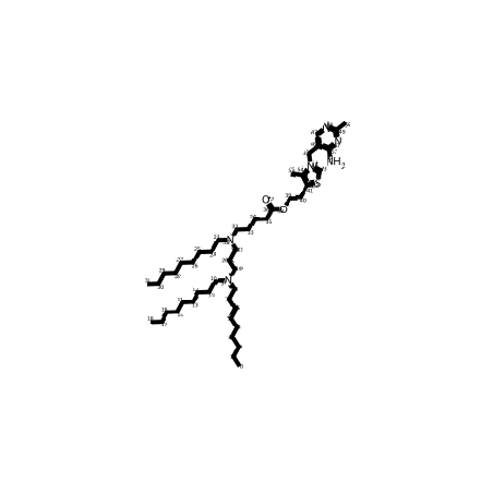 CCCCCCCCCN(CCCCCCCCC)CCCN(CCCCCCCCC)CCCCC(=O)OCCc1sc[n+](Cc2cnc(C)nc2N)c1C